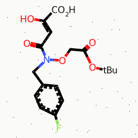 CC(C)(C)OC(=O)CON(Cc1ccc(F)cc1)C(=O)C=C(O)C(=O)O